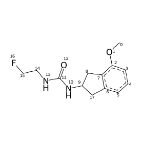 COc1cccc2c1CC(NC(=O)NCCF)C2